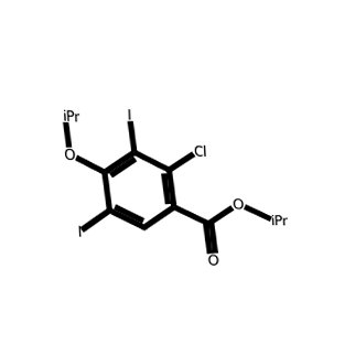 CC(C)OC(=O)c1cc(I)c(OC(C)C)c(I)c1Cl